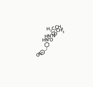 CC(C)(C)c1cc(NC(=O)Nc2ccc(Cc3cc[n+]([O-])cc3)cc2)no1